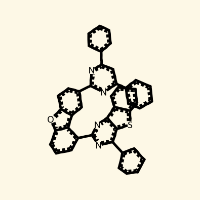 c1ccc(-c2cc(-c3ccccc3)nc(-c3ccc4oc5cccc(-c6nc(-c7ccccc7)c7sc8ccccc8c7n6)c5c4c3)n2)cc1